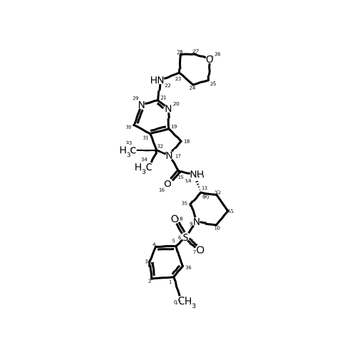 Cc1cccc(S(=O)(=O)N2CCC[C@@H](NC(=O)N3Cc4nc(NC5CCOCC5)ncc4C3(C)C)C2)c1